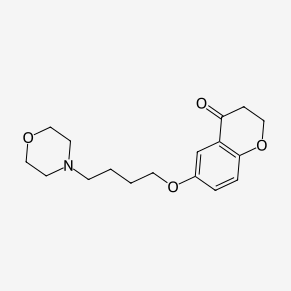 O=C1CCOc2ccc(OCCCCN3CCOCC3)cc21